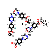 CC(C)(C)OC(=O)c1ccc(N2CCO[C@H](CN3CCN(c4ccc(C(=O)O)c(F)c4)CC3)C2)cc1.COC(=O)c1ccc(N2CCN(C[C@@H]3CN(c4ccc(C(=O)OC(C)(C)C)cc4)CCO3)CC2)cc1F